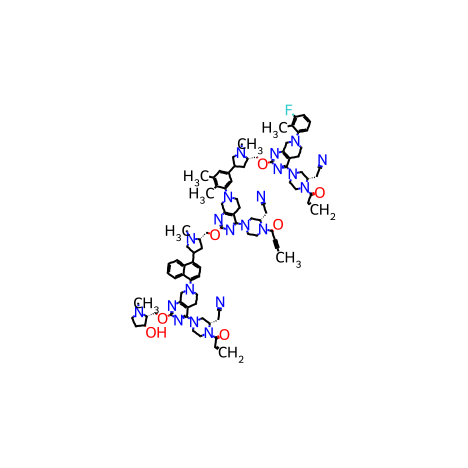 C=CC(=O)N1CCN(c2nc(OC[C@@H]3CC(c4cc(C)c(C)c(N5CCc6c(nc(OC[C@@H]7CC(c8ccc(N9CCc%10c(nc(OC[C@@H]%11[C@@H](O)CCN%11C)nc%10N%10CCN(C(=O)C=C)[C@@H](CC#N)C%10)C9)c9ccccc89)CN7C)nc6N6CCN(C(=O)C#CC)[C@@H](CC#N)C6)C5)c4)CN3C)nc3c2CCN(c2cccc(F)c2C)C3)C[C@@H]1CC#N